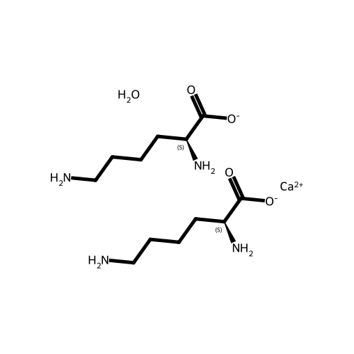 NCCCC[C@H](N)C(=O)[O-].NCCCC[C@H](N)C(=O)[O-].O.[Ca+2]